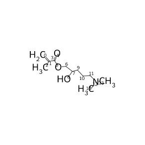 C=C(C)C(=O)OCC(O)CCCN(C)C